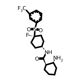 N[C@@H]1CCCC[C@H]1C(=O)N[C@H]1CC[C@](F)(S(=O)(=O)c2cccc(C(F)(F)F)c2)CC1